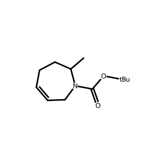 CC1CCC=CCN1C(=O)OC(C)(C)C